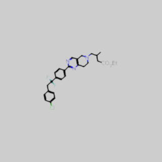 CCOC(=O)CC(C)CN1CCc2nc(-c3ccc(C(F)(F)Cc4ccc(Cl)cc4)cc3)ncc2C1